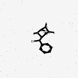 CCC(c1ccccc1)C1C(C)C2OC1C(C)C2C